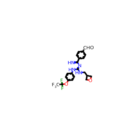 N=C(/N=C(/NCC1COC1)Nc1ccc(OC(F)(F)C(F)(F)F)cc1)c1ccc(C=O)cc1